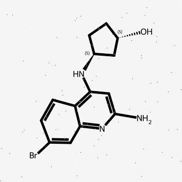 Nc1cc(N[C@H]2CC[C@H](O)C2)c2ccc(Br)cc2n1